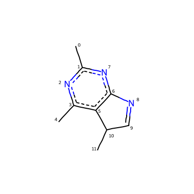 Cc1nc(C)c2c(n1)N=CC2C